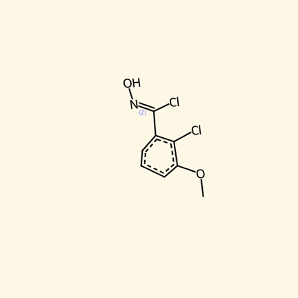 COc1cccc(/C(Cl)=N/O)c1Cl